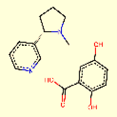 CN1CCC[C@H]1c1cccnc1.O=C(O)c1cc(O)ccc1O